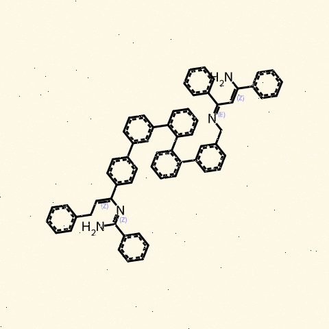 N/C(=C\C(=N/Cc1cccc(-c2ccccc2-c2ccccc2-c2cccc(-c3ccc(C(=C/Cc4ccccc4)/N=C(\N)c4ccccc4)cc3)c2)c1)c1ccccc1)c1ccccc1